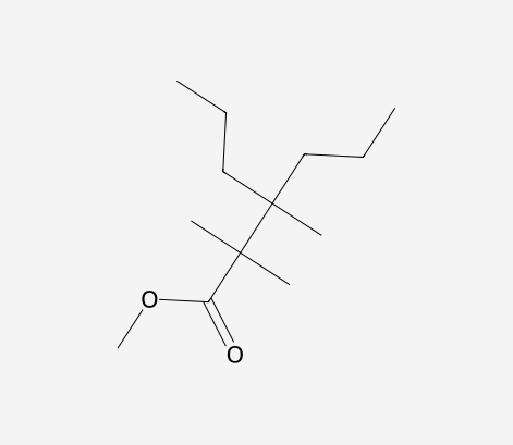 CCCC(C)(CCC)C(C)(C)C(=O)OC